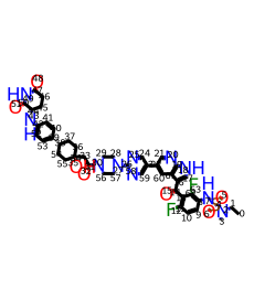 CCN(C)S(=O)(=O)Nc1ccc(F)c(C(=O)c2c[nH]c3ncc(-c4cnc(N5CCN(C(=O)C[C@]6(O)CC[C@@H](c7ccc(NC8CCC(=O)NC8=O)cc7)CC6)CC5)nc4)cc23)c1F